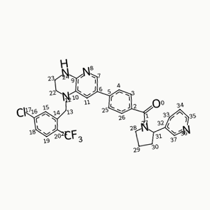 O=C(c1ccc(-c2cnc3c(c2)N(Cc2cc(Cl)ccc2C(F)(F)F)CCN3)cc1)N1CCCC1c1cccnc1